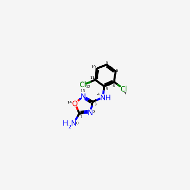 Nc1nc(Nc2c(Cl)cccc2Cl)no1